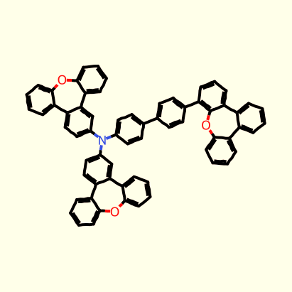 c1ccc2c(c1)Oc1ccccc1-c1cc(N(c3ccc(-c4ccc(-c5cccc6c5Oc5ccccc5-c5ccccc5-6)cc4)cc3)c3ccc4c(c3)-c3ccccc3Oc3ccccc3-4)ccc1-2